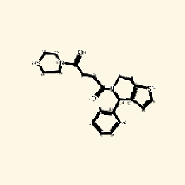 O=C(CCC(=O)N1CCc2sccc2C1c1ccccc1)N1CCSCC1